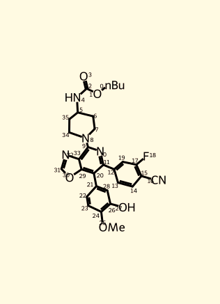 CCCCOC(=O)NC1CCN(c2nc(-c3ccc(C#N)c(F)c3)c(-c3ccc(OC)c(O)c3)c3ocnc23)CC1